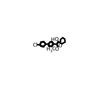 Cc1cc(-c2ccc(Cl)cc2)ccc1C1=C(O)C2(CCCCC2)OC1=O